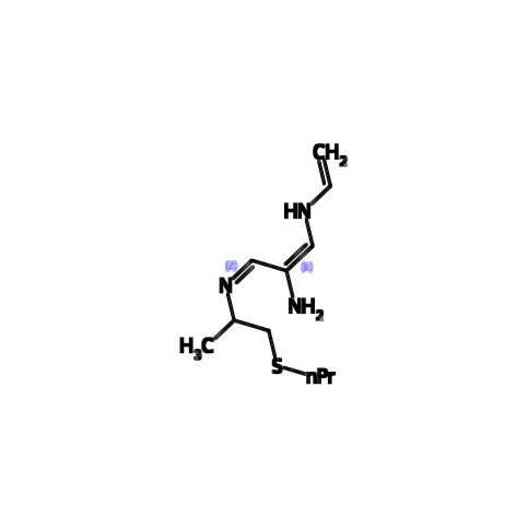 C=CN/C=C(N)\C=N/C(C)CSCCC